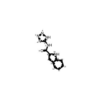 O=C(Nc1nnn[nH]1)c1cc2ccccc2[nH]1